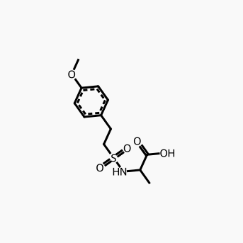 COc1ccc(CCS(=O)(=O)NC(C)C(=O)O)cc1